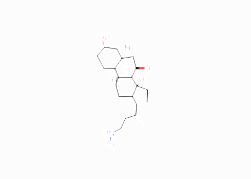 C[C@H](CCNCl)[C@H]1CC[C@H]2[C@@H]3C(=O)C[C@@H]4C[C@H](O)CC[C@]4(C)[C@H]3CC[C@]12C